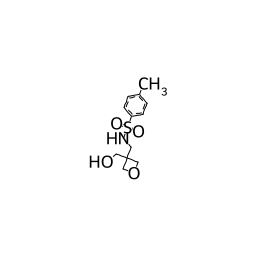 Cc1ccc(S(=O)(=O)NCC2(CO)COC2)cc1